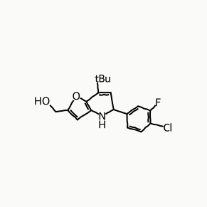 CC(C)(C)C1=CC(c2ccc(Cl)c(F)c2)Nc2cc(CO)oc21